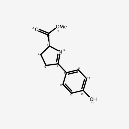 COC(=O)[C@@H]1CCC(c2ccc(O)cc2)=N1